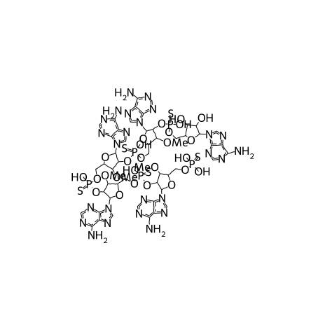 COC1C(COP(O)(O)=S)OC(n2cnc3c(N)ncnc32)C1OP(O)(=S)OCC1OC(n2cnc3c(N)ncnc32)C(OP(O)(=S)OCC2OC(n3cnc4c(N)ncnc43)C(OP(O)(=S)OCC3OC(n4cnc5c(N)ncnc54)C(OP(O)(=S)OCC4OC(n5cnc6c(N)ncnc65)C(O)C4O)C3OC)C2OC)C1OC